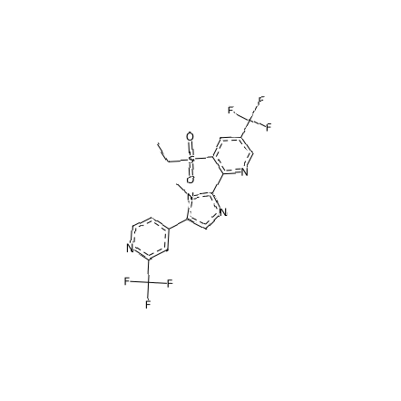 CCS(=O)(=O)c1cc(C(F)(F)F)cnc1-c1ncc(-c2ccnc(C(F)(F)F)c2)n1C